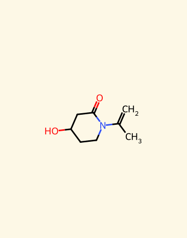 C=C(C)N1CCC(O)CC1=O